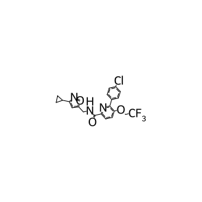 O=C(NCc1cc(C2CC2)no1)c1ccc(OCC(F)(F)F)c(-c2ccc(Cl)cc2)n1